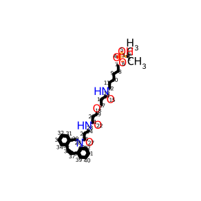 CC(C)P(=O)(O)OCCCCCCNC(=O)CCOCCC(=O)NCCC(=O)N1Cc2ccccc2C#Cc2ccccc21